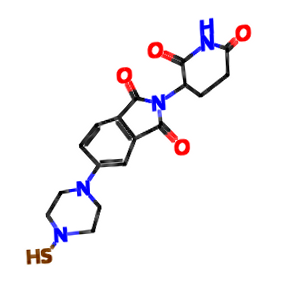 O=C1CCC(N2C(=O)c3ccc(N4CCN(S)CC4)cc3C2=O)C(=O)N1